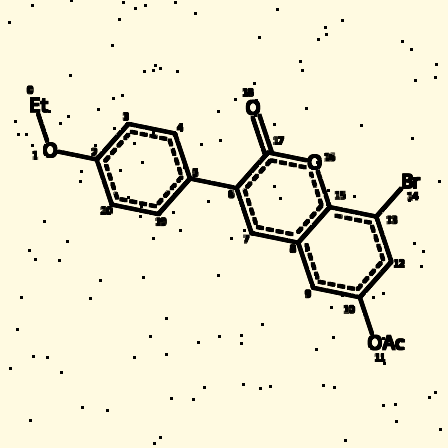 CCOc1ccc(-c2cc3cc(OC(C)=O)cc(Br)c3oc2=O)cc1